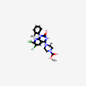 C[C@H]1CN(C(=O)OC(C)(C)C)CCN1c1nc(=O)n(-c2ccccc2C(C)(C)C)c2nc(Cl)c(F)cc12